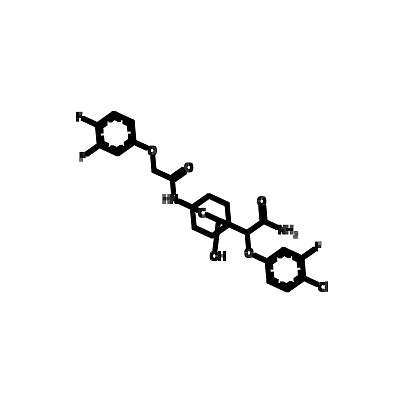 NC(=O)C(Oc1ccc(Cl)c(F)c1)C12CCC(NC(=O)COc3ccc(F)c(F)c3)(CC1)CC2O